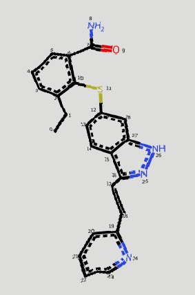 CCc1cccc(C(N)=O)c1Sc1ccc2c(C=Cc3ccccn3)n[nH]c2c1